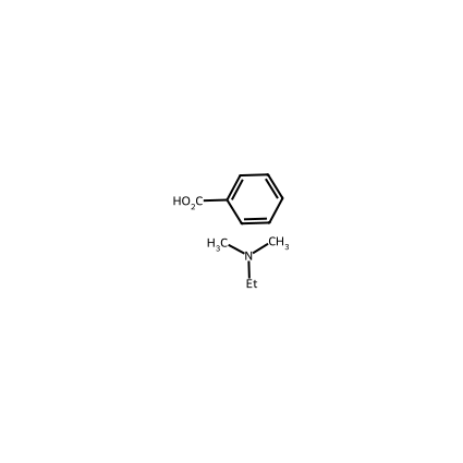 O=C(O)c1ccccc1.[CH2]CN(C)C